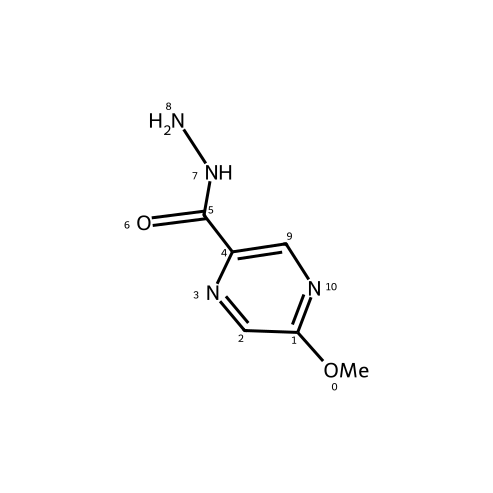 COc1cnc(C(=O)NN)cn1